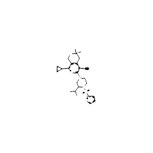 CC(C)C1CN(c2nc(C3CC3)c3c(c2C#N)CC(C)(C)OC3)CCN1S(=O)(=O)c1cccs1